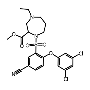 CCN1CCCN(S(=O)(=O)c2cc(C#N)ccc2Oc2cc(Cl)cc(Cl)c2)C(C(=O)OC)C1